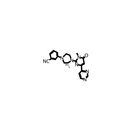 C[C@@H]1CN(c2cccc(C#N)c2)CCN1c1nc(-c2ccncn2)cc(=O)n1C